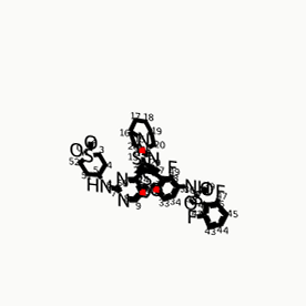 O=S1(=O)CCC(Nc2nccc(-c3sc(N4C5CCC4CN(C4CS(=O)(=O)C4)C5)nc3-c3cccc(NS(=O)(=O)c4c(F)cccc4F)c3F)n2)CC1